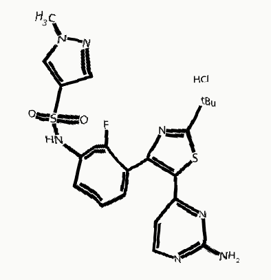 Cl.Cn1cc(S(=O)(=O)Nc2cccc(-c3nc(C(C)(C)C)sc3-c3ccnc(N)n3)c2F)cn1